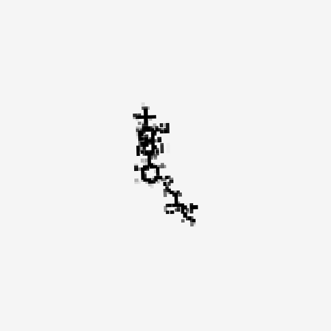 CCNC(=O)CCOc1cccc(-c2nn3nc(C(C)(C)C)c(Cl)c3[nH]2)c1